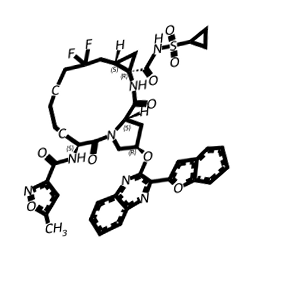 Cc1cc(C(=O)N[C@H]2CCCCCC(F)(F)C[C@@H]3C[C@@]3(C(=O)NS(=O)(=O)C3CC3)NC(=O)[C@@H]3C[C@@H](Oc4nc5ccccc5nc4-c4cc5ccccc5o4)CN3C2=O)no1